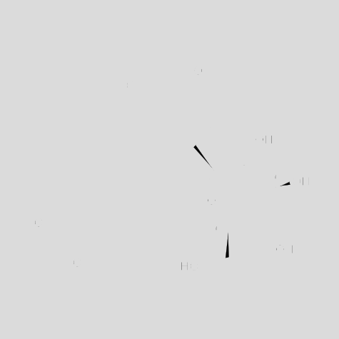 OC[C@H]1O[C@@H](c2cc(Cc3ccc4c(c3)OCCO4)c(Cl)c3c2CCO3)[C@H](O)[C@@H](O)[C@@H]1O